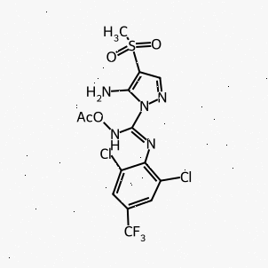 CC(=O)ONC(=Nc1c(Cl)cc(C(F)(F)F)cc1Cl)n1ncc(S(C)(=O)=O)c1N